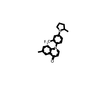 Cc1ccc2c(c1)c(=O)ccn2-c1ccc(N2CCCC2C)cc1C(F)(F)F